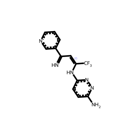 N=C(/C=C(\Nc1ccc(N)nn1)C(F)(F)F)c1cccnc1